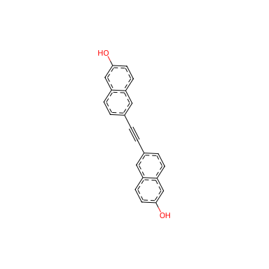 Oc1ccc2cc(C#Cc3ccc4cc(O)ccc4c3)ccc2c1